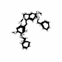 COc1ccc(CC2c3cc(OCc4ccccc4)c(OC)cc3CCN2C)cc1OCc1ccccc1